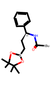 CC(C)(C)C(=O)N[C@@H](CCB1OC(C)(C)C(C)(C)O1)c1ccccc1